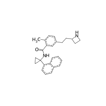 Cc1ccc(CCC2CCN2)cc1C(=O)NC1(c2cccc3ccccc23)CC1